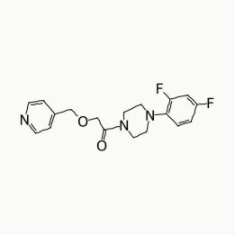 O=C(COCc1ccncc1)N1CCN(c2ccc(F)cc2F)CC1